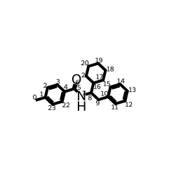 Cc1ccc(C(=O)NC(Cc2ccccc2)C2CCCCC2)cc1